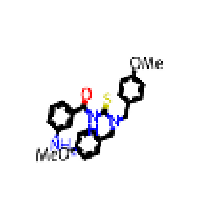 COc1ccc(CN(Cc2ccc(OC)cc2)C(=S)NC(=O)c2cccc(N)c2)cc1